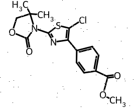 COC(=O)c1ccc(-c2nc(N3C(=O)OCC3(C)C)sc2Cl)cc1